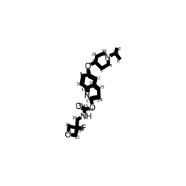 CC(C)N1CCC(Oc2ccc3nc(OC(=O)NCC4(F)COC4)ccc3c2)CC1